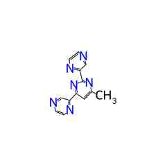 Cc1cc(-c2cnccn2)nc(-c2cnccn2)n1